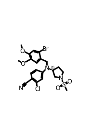 COc1cc(Br)c(CN(c2ccc(C#N)c(Cl)c2)[C@H]2CCN(S(C)(=O)=O)C2)cc1OC